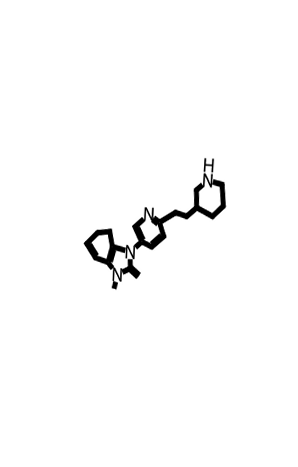 C=C1N(C)C2=C(CCC=C2)N1c1ccc(CCC2CCCNC2)nc1